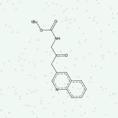 CC(C)(C)OC(=O)NCC(=O)Cc1cnc2ccccc2c1